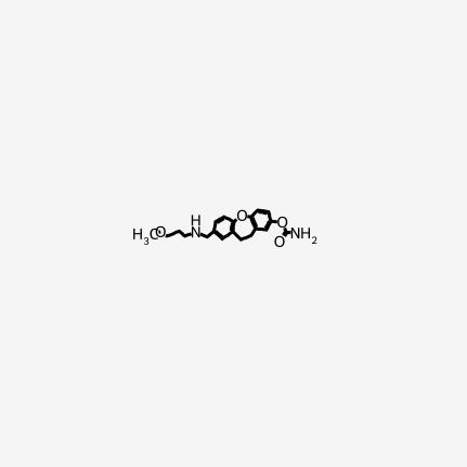 COCCCNCc1ccc2c(c1)CCc1cc(OC(N)=O)ccc1O2